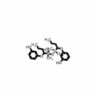 CCCC(Oc1cccc(O)c1)[Si](C)(C)O[Si](C)(C)C(CCC)Oc1cccc(O)c1